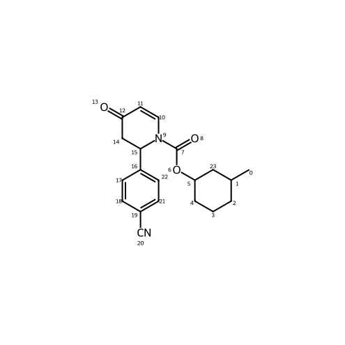 CC1CCCC(OC(=O)N2C=CC(=O)CC2c2ccc(C#N)cc2)C1